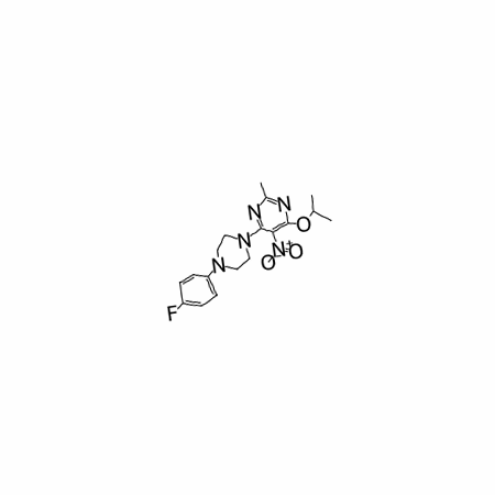 Cc1nc(OC(C)C)c([N+](=O)[O-])c(N2CCN(c3ccc(F)cc3)CC2)n1